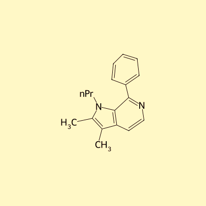 CCCn1c(C)c(C)c2ccnc(-c3ccccc3)c21